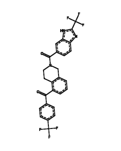 O=C(c1ccc(C(F)(F)F)cc1)c1cccc2c1CCN(C(=O)c1ccc3nc(C(F)(F)F)[nH]c3c1)C2